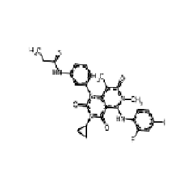 CCC(=S)Nc1cccc(-n2c(=O)n(C3CC3)c(=O)c3c(Nc4ccc(I)cc4F)n(C)c(=O)c(C)c32)c1